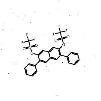 O=S(=O)(Oc1cc2cc(OS(=O)(=O)C(F)(F)F)c(-c3ccccc3)cc2cc1-c1ccccc1)C(F)(F)F